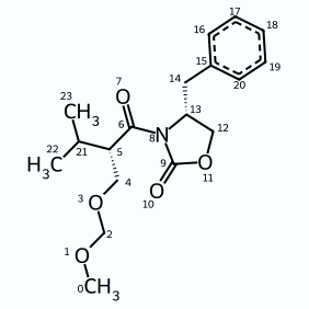 COCOC[C@@H](C(=O)N1C(=O)OC[C@H]1Cc1ccccc1)C(C)C